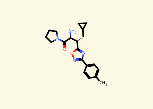 Cc1ccc(-c2noc([C@@H](CC3CC3)[C@H](N)C(=O)N3CCCC3)n2)cc1